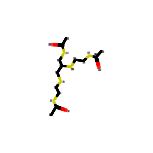 CC(=O)SCCSCC(CSC(C)=O)SCCSC(C)=O